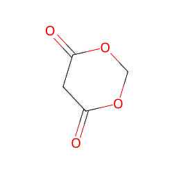 O=C1CC(=O)OCO1